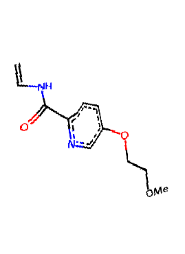 C=CNC(=O)c1ccc(OCCOC)cn1